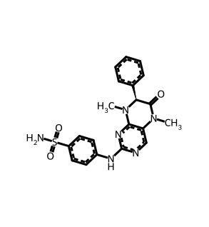 CN1C(=O)[C@H](c2ccccc2)N(C)c2nc(Nc3ccc(S(N)(=O)=O)cc3)ncc21